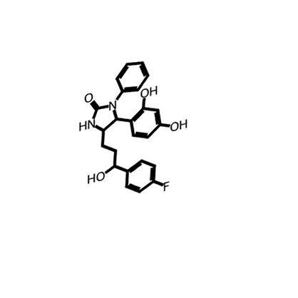 O=C1NC(CCC(O)c2ccc(F)cc2)C(c2ccc(O)cc2O)N1c1ccccc1